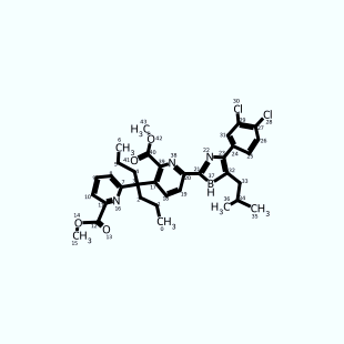 CCCC(CCC)(c1cccc(C(=O)OC)n1)c1ccc(C2=NC(c3ccc(Cl)c(Cl)c3)=C(CC(C)C)B2)nc1C(=O)OC